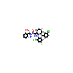 O=C(N[C@H](CO)c1ccccc1)c1nn(-c2ccc(Cl)cc2Cl)c2c1CCCC[C@@H]2Cc1cccc(Cl)c1